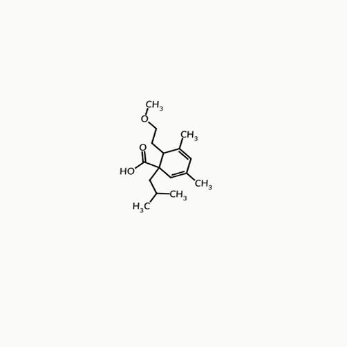 COCCC1C(C)=CC(C)=CC1(CC(C)C)C(=O)O